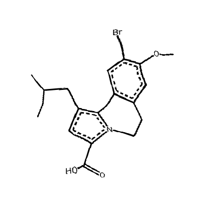 COc1cc2c(cc1Br)-c1c(CC(C)C)cc(C(=O)O)n1CC2